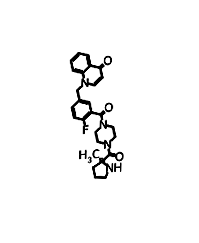 C[C@]1(C(=O)N2CCN(C(=O)c3cc(Cn4ccc(=O)c5ccccc54)ccc3F)CC2)CCCN1